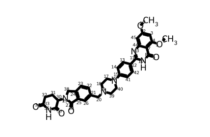 COc1cc(OC)c2c(=O)[nH]c(-c3ccc(N4CCN(Cc5ccc6c(c5)C(=O)N(C5CCC(=O)NC5=O)C6)CC4)cc3)nc2c1